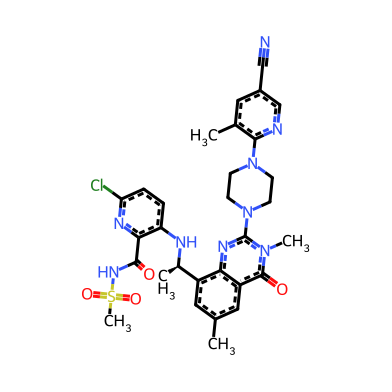 Cc1cc([C@@H](C)Nc2ccc(Cl)nc2C(=O)NS(C)(=O)=O)c2nc(N3CCN(c4ncc(C#N)cc4C)CC3)n(C)c(=O)c2c1